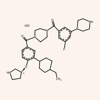 CCC1CCC(c2cc(C(=O)N3CCN(C(=O)c4cc(F)cc(N5CCNCC5)c4)CC3)ccc2O[C@H]2CCNC2)CC1.Cl